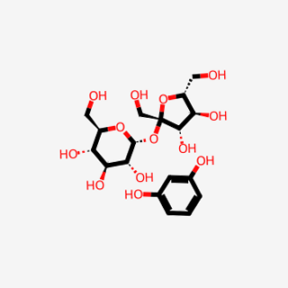 OC[C@H]1O[C@@](CO)(O[C@H]2O[C@H](CO)[C@@H](O)[C@H](O)[C@H]2O)[C@@H](O)[C@@H]1O.Oc1cccc(O)c1